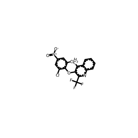 Cc1c(Oc2c(Cl)cc([N+](=O)[O-])cc2Cl)c(C(F)(F)F)nc2ccccc12